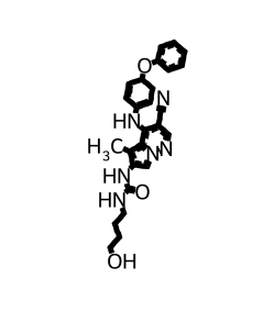 Cc1c(NC(=O)NCCCCO)cn2ncc(C#N)c(NC3=CCC(Oc4ccccc4)C=C3)c12